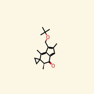 CC1=C(COC(C)(C)C)C2=C(C)C3(CC3)[C@H](C)C(=O)C2=C1